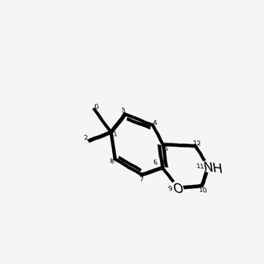 CC1(C)C=CC2=C(C=C1)OCNC2